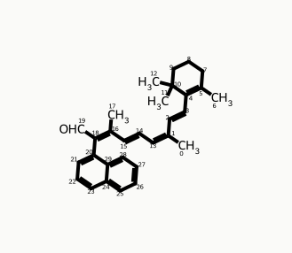 CC(C=CC1=C(C)CCCC1(C)C)=CC=CC(C)=C(C=O)c1cccc2ccccc12